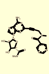 CNC(=O)[C@H]1O[C@@H](n2cnc3c(N)nc(C#CCN(C)C(=O)c4cncnc4)nc32)[C@H](O)C1O